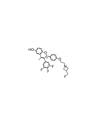 CC1=C(c2cc(F)c(F)c(F)c2)[C@H](c2ccc(OCCN3CC(CF)C3)cc2)Oc2ccc(O)cc21